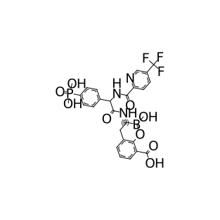 O=C(NC(C(=O)N[C@H]1Cc2cccc(C(=O)O)c2OB1O)c1ccc(P(=O)(O)O)cc1)c1ccc(C(F)(F)F)cn1